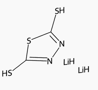 Sc1nnc(S)s1.[LiH].[LiH]